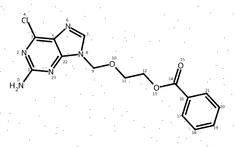 Nc1nc(Cl)c2ncn(COCCOC(=O)c3ccccc3)c2n1